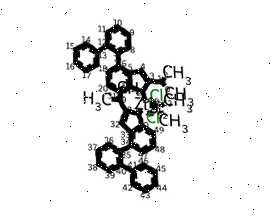 CC(C)C1=Cc2c(-c3ccccc3-c3ccccc3)cccc2[CH]1[Zr]([Cl])([Cl])([CH]1C(C(C)C)=Cc2c(-c3ccccc3-c3ccccc3)cccc21)=[Si](C)C